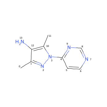 Cc1nn(-c2c[c]ncn2)c(C)c1N